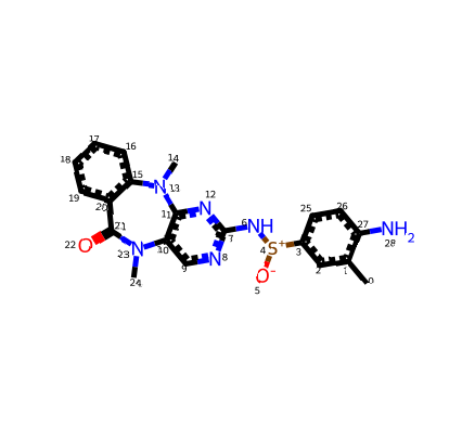 Cc1cc([S+]([O-])Nc2ncc3c(n2)N(C)c2ccccc2C(=O)N3C)ccc1N